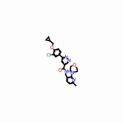 Cc1ccc(CNC(=O)c2cnnc(-c3ccc(OCC4CC4)c(Cl)c3)c2)c(N2CCOCC2)n1